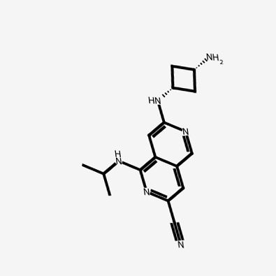 CC(C)Nc1nc(C#N)cc2cnc(N[C@H]3C[C@@H](N)C3)cc12